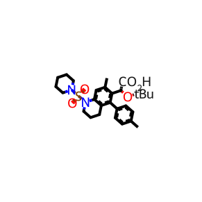 Cc1ccc(-c2c3c(cc(C)c2C(OC(C)(C)C)C(=O)O)N(S(=O)(=O)N2CCCCC2)CCC3)cc1